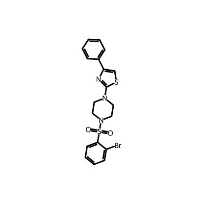 O=S(=O)(c1ccccc1Br)N1CCN(c2nc(-c3ccccc3)cs2)CC1